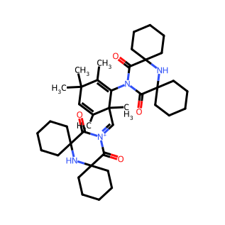 CC1=CC(C)(C)C(C)=C(N2C(=O)C3(CCCCC3)NC3(CCCCC3)C2=O)C1(C)C=[N+]1C(=O)C2(CCCCC2)NC2(CCCCC2)C1=O